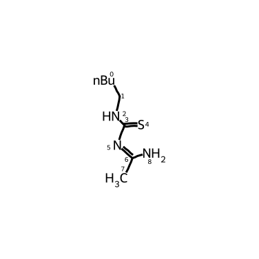 CCCCCNC(=S)N=C(C)N